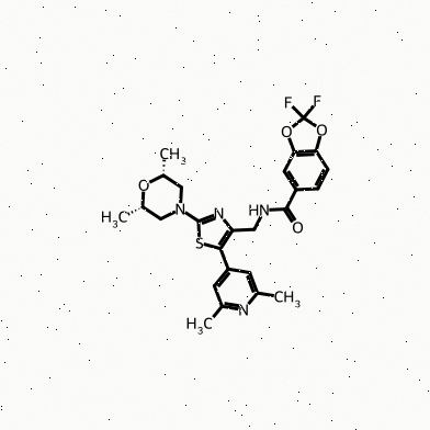 Cc1cc(-c2sc(N3C[C@@H](C)O[C@@H](C)C3)nc2CNC(=O)c2ccc3c(c2)OC(F)(F)O3)cc(C)n1